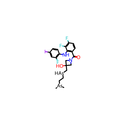 C[As](C)CC[AsH]CC1(O)CN(C(=O)c2ccc(F)c(F)c2Nc2ccc(I)cc2F)C1